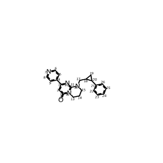 O=c1cc(-c2ccncc2)nc2n1CCCN2CC1CC1c1ccccc1